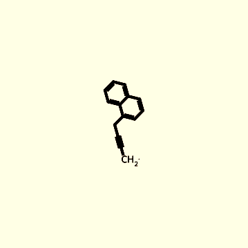 [CH2]C#CCc1cccc2ccccc12